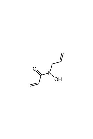 C=CCN(O)C(=O)C=C